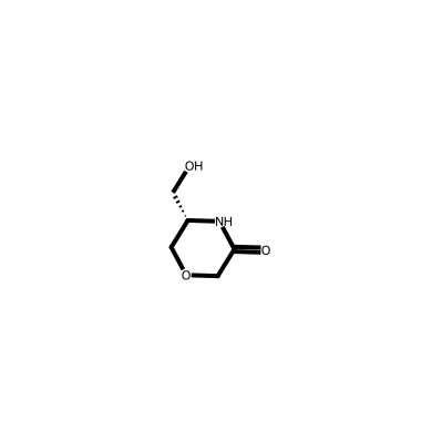 O=C1COC[C@H](CO)N1